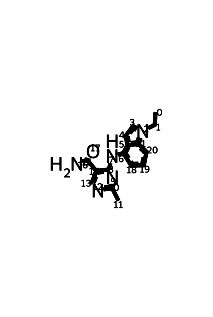 CCn1ccc2c(Nc3nc(C)ncc3C(N)=O)cccc21